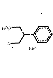 O=S(=O)(O)CC(CCl)c1ccccc1.[NaH]